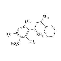 Cc1cc(C)c(C(C)CN(C)C2CCCCC2)c(C)c1C(=O)O